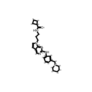 O=C(NCCCn1ccc2cnc(Nc3cccc(CN4CCCCC4)c3)nc21)C1CCC1